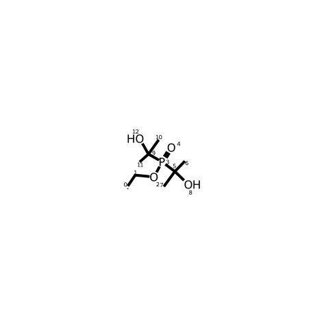 [CH2]COP(=O)(C(C)(C)O)C(C)(C)O